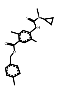 Cc1ccc(COC(=O)c2cc(C)c(NC(=S)N(C)C3CC3)cc2C)cc1